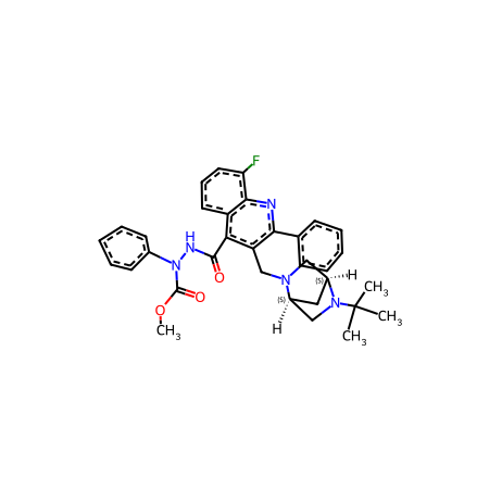 COC(=O)N(NC(=O)c1c(CN2C[C@@H]3C[C@H]2CN3C(C)(C)C)c(-c2ccccc2)nc2c(F)cccc12)c1ccccc1